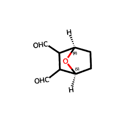 O=CC1C(C=O)[C@H]2CC[C@@H]1O2